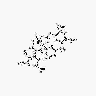 Bc1cccc([C@]23CN(Cc4ccc(OC)cc4OC)C[C@H]2CSC(N(C(=O)OC(C)(C)C)C(=O)OC(C)(C)C)=N3)c1